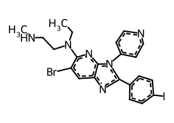 CCN(CCNC)c1nc2c(cc1Br)nc(-c1ccc(I)cc1)n2-c1ccncc1